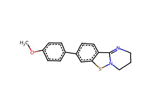 COc1ccc(-c2ccc3c(c2)SN2CCCN=C32)cc1